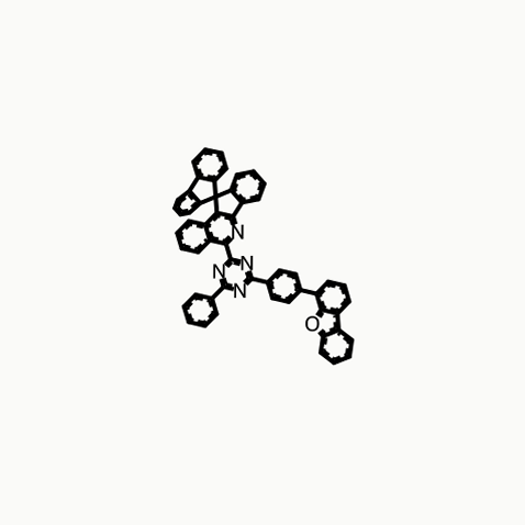 c1ccc(-c2nc(-c3ccc(-c4cccc5c4oc4ccccc45)cc3)nc(-c3nc4c(c5ccccc35)C3(c5ccccc5-c5ccccc53)c3ccccc3-4)n2)cc1